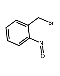 O=Nc1ccccc1CBr